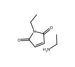 CCN.CCN1C(=O)C=CC1=O